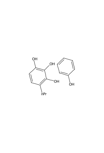 CCCc1ccc(O)c(O)c1O.Oc1ccccc1